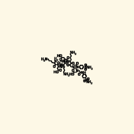 NCCCC[C@H](NN[C@@H](CC(=O)O)C(=O)C(=O)[C@@H](N)CCCCN)C(=O)N[C@@H](CC(=O)O)C(=O)N[C@@H](CCCCN)C(=O)C(=O)CN(CCN(CC(=O)O)CC(=O)Nc1ccc(S(N)(=O)=O)cc1)CC(=O)Nc1ccc(S(N)(=O)=O)cc1